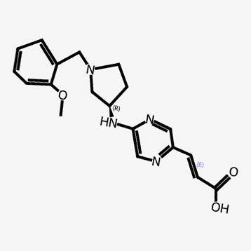 COc1ccccc1CN1CC[C@@H](Nc2cnc(/C=C/C(=O)O)cn2)C1